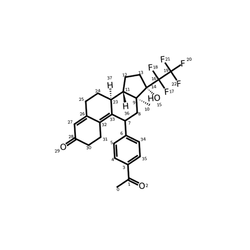 CC(=O)c1ccc(C2C[C@@]3(C)[C@@H](CC[C@@]3(O)C(F)(F)C(F)(F)F)[C@@H]3CCC4=CC(=O)CCC4=C23)cc1